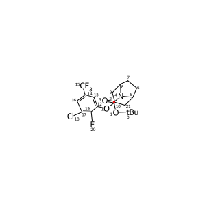 CC(C)(C)OC(=O)N1C2CCC1CC(Oc1cc(C(F)(F)F)cc(Cl)c1F)C2